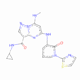 CNc1cc(Nc2cccn(-c3nccs3)c2=O)nc2c(C(=O)NC3CC3)cnn12